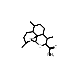 CC1CCC2C(C)C(C(N)=O)OC3OC4(C)CCC1C32OO4